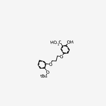 CC(C)(C)Oc1ccccc1OCCCOc1ccc(O)c(C(=O)O)c1